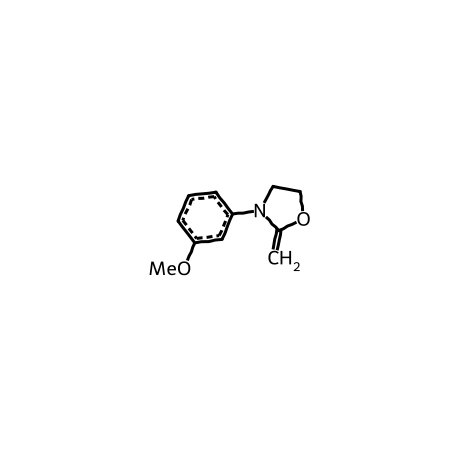 C=C1OCCN1c1cccc(OC)c1